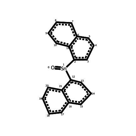 [O]=[Sn]([c]1cccc2ccccc12)[c]1cccc2ccccc12